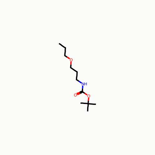 CCCOCCCNC(=O)OC(C)(C)C